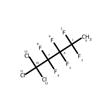 CC(F)(F)C(F)(F)C(F)(F)C(Cl)(Cl)Cl